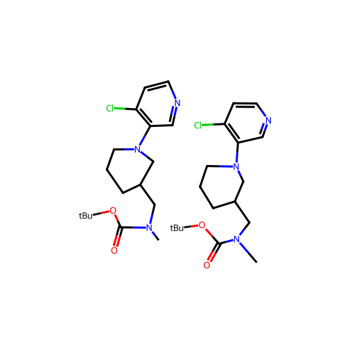 CN(CC1CCCN(c2cnccc2Cl)C1)C(=O)OC(C)(C)C.CN(CC1CCCN(c2cnccc2Cl)C1)C(=O)OC(C)(C)C